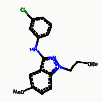 COCCn1nc(Nc2cccc(Cl)c2)c2cc(OC)ccc21